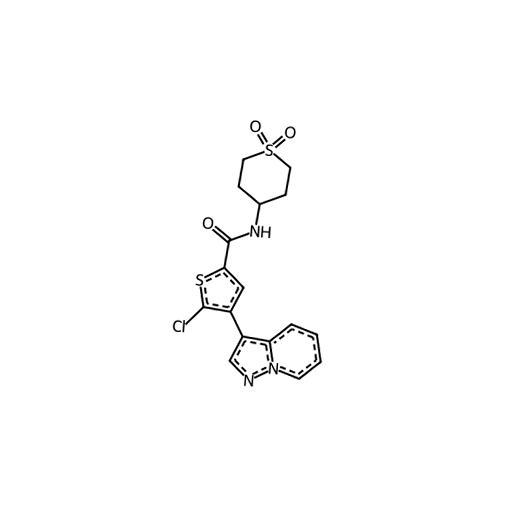 O=C(NC1CCS(=O)(=O)CC1)c1cc(-c2cnn3ccccc23)c(Cl)s1